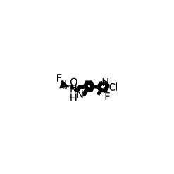 Cc1c(-c2ccc3cc(NC(=O)[C@@H]4C[C@@H]4F)ncc3c2)cnc(Cl)c1F